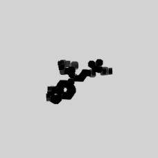 CC(C)(C)OC(=O)N(CCO[Si](C)(C)C(C)(C)C)c1ccn2cnnc2c1